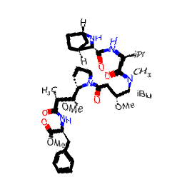 CC[C@H](C)[C@@H]([C@@H](CC(=O)N1CCC[C@H]1[C@H](OC)[C@@H](C)C(=O)N[C@@H](Cc1ccccc1)C(=O)OC)OC)N(C)C(=O)[C@@H](NC(=O)[C@H]1N[C@H]2CC[C@H]1C2)C(C)C